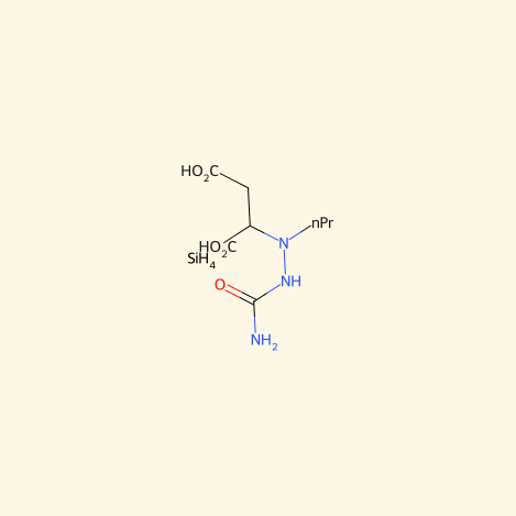 CCCN(NC(N)=O)C(CC(=O)O)C(=O)O.[SiH4]